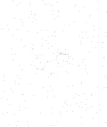 Cn1cnc(-c2cc(Cl)ccc2C=O)c1